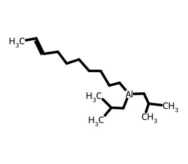 C/C=C/CCCCCC[CH2][Al]([CH2]C(C)C)[CH2]C(C)C